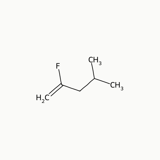 C=C(F)CC(C)C